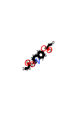 C=CC(=O)Oc1ccc2nc(OC(=O)C=C)ccc2c1